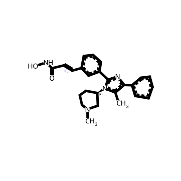 Cc1c(-c2ccccc2)nc(-c2cccc(/C=C/C(=O)NO)c2)n1[C@@H]1CCCN(C)C1